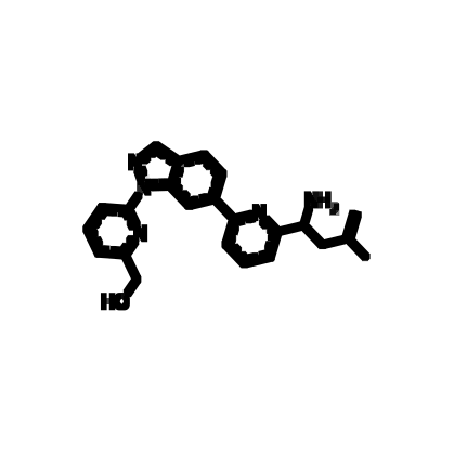 C=C(C)CC(N)c1cccc(-c2ccc3cnn(-c4cccc(CO)n4)c3c2)n1